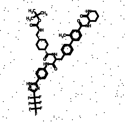 Cc1cc(C(=O)NC2CCCNC2=O)ccc1-c1ccc(CC(NC(=O)[C@H]2CC[C@H](CNC(=O)OC(C)(C)C)CC2)C(=O)Nc2ccc(-c3nc(C(F)(F)C(F)(F)C(F)(F)F)n[nH]3)cc2)cc1